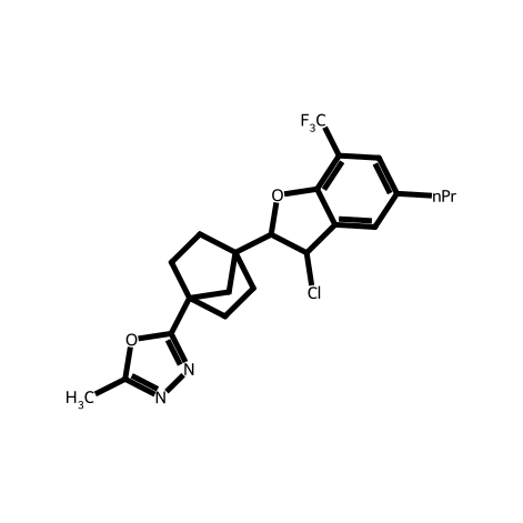 CCCc1cc2c(c(C(F)(F)F)c1)OC(C13CCC(c4nnc(C)o4)(CC1)C3)C2Cl